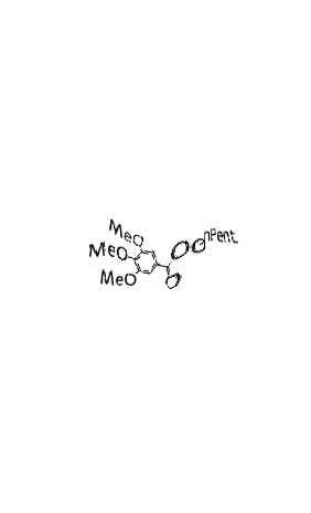 [CH2]CCCCOOC(=O)c1cc(OC)c(OC)c(OC)c1